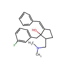 CN(C)CC1CCC(=Cc2ccccc2)C1(O)Cc1cccc(F)c1